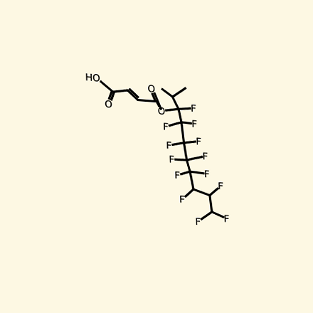 CC(C)C(F)(OC(=O)C=CC(=O)O)C(F)(F)C(F)(F)C(F)(F)C(F)(F)C(F)C(F)C(F)F